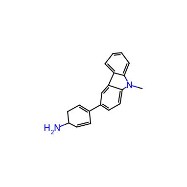 Cn1c2ccccc2c2cc(C3=CCC(N)C=C3)ccc21